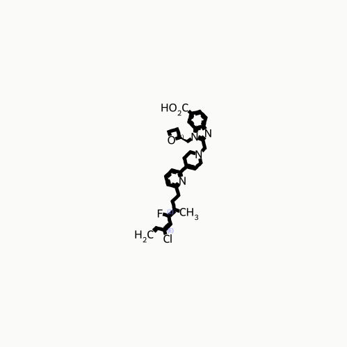 C=C/C(Cl)=C\C(F)=C(/C)CCc1cccc(C2=CCN(Cc3nc4ccc(C(=O)O)cc4n3C[C@@H]3CCO3)CC2)n1